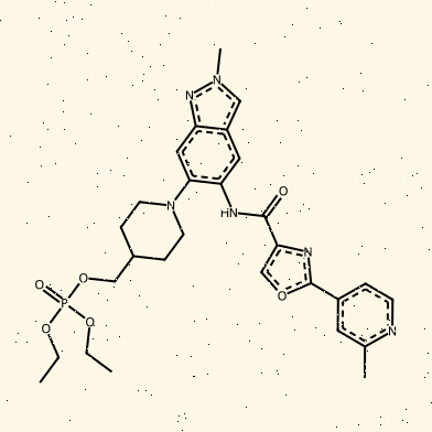 CCOP(=O)(OCC)OCC1CCN(c2cc3nn(C)cc3cc2NC(=O)c2coc(-c3ccnc(C)c3)n2)CC1